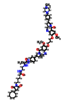 COc1cc2c(cc1OCCCOc1cc3c(cc1OC)C(=O)N1C=C(c4ccc(NC(=O)[C@H](C)NCCNC(=O)CCCCCN5C(=O)CC(C6CCCCCCC6)C5=O)cc4)C[C@H]1C=N3)N=CC1CC(c3ccc(N4CCN(C)CC4)cc3)=CN1C2=O